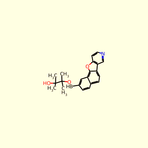 CC(C)(O)C(C)(C)OBc1ccc2ccc3c4cnccc4oc3c2c1